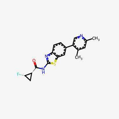 Cc1cc(C)c(-c2ccc3nc(NC(=O)[C@@H]4C[C@@H]4F)sc3c2)cn1